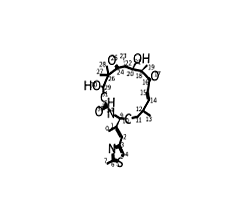 CC(=Cc1csc(C)n1)[C@@H]1CCC(C)C=CC(=O)[C@H](C)[C@H](O)[C@@H](C)C(=O)C(C)(C)[C@@H](O)CC(=O)N1